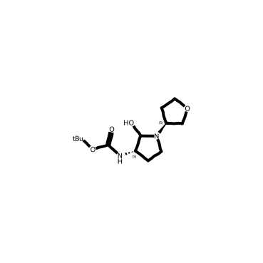 CC(C)(C)OC(=O)N[C@H]1CCN([C@H]2CCOC2)C1O